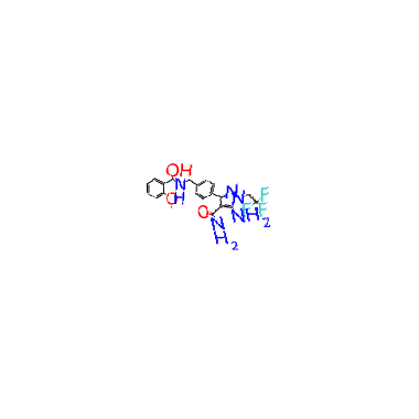 COc1ccccc1C(O)NCc1ccc(-c2nn(CC(F)(F)F)c(N)c2C(N)=O)cc1